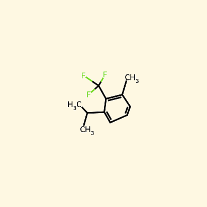 Cc1cccc(C(C)C)c1C(F)(F)F